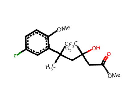 COC(=O)CC(O)(CC(C)(C)c1cc(F)ccc1OC)C(F)(F)F